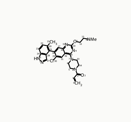 C=CC(=O)N1CCN(c2nc(OCCNC)nc3cc(-c4c(C)ccc5[nH]ncc45)c(Cl)cc23)CC1